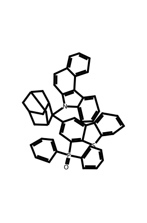 O=P(c1ccccc1)(c1ccccc1)c1cc(C2(n3c4ccccc4c4c5ccccc5ccc43)C3CC4CC(C3)CC2C4)cc2c1sc1ccccc12